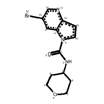 O=C(NC1CCOCC1)n1ccc2ncc(Br)cc21